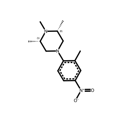 Cc1cc([N+](=O)[O-])ccc1N1C[C@@H](C)N(C)[C@@H](C)C1